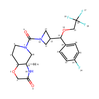 O=C1COC2CCN(C(=O)N3CC(C(OCC(F)(F)F)c4ccc(F)cc4)C3)C[C@H]2N1